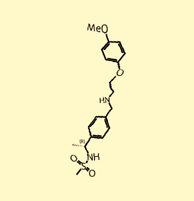 COc1ccc(OCCNCc2ccc([C@@H](C)NS(C)(=O)=O)cc2)cc1